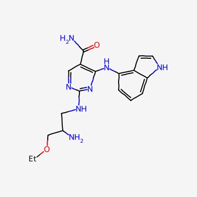 CCOCC(N)CNc1ncc(C(N)=O)c(Nc2cccc3[nH]ccc23)n1